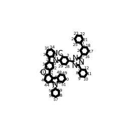 N#Cc1cc(-c2nc(-c3ccccc3)nc(-c3cccc(-c4ccccc4)c3)n2)ccc1-n1c2ccccc2c2cc3oc4ccc5c(c6ccccc6n5-c5ccccc5)c4c3cc21